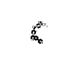 C[C@@H]1CN(c2ccnc3cc(-c4ccncc4)ccc23)CC[C@@H]1C1OC1N1CCn2c(nnc2C(F)(F)F)C1